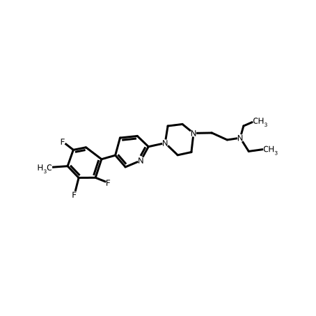 CCN(CC)CCN1CCN(c2ccc(-c3cc(F)c(C)c(F)c3F)cn2)CC1